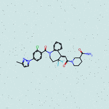 Cc1ccn(-c2ccc(C(=O)N3CCC(F)(F)C(=CC(=O)N4CCCC(C(N)=O)C4)c4ccccc43)c(Cl)c2)n1